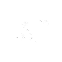 CS[C@@H]1CCC(c2nnc(C3CC(OC(F)(F)F)C3)o2)N(C(=O)OC(C)(C)C)C1